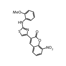 COc1ccccc1Nc1nc(-c2cc3cccc([N+](=O)[O-])c3oc2=O)cs1